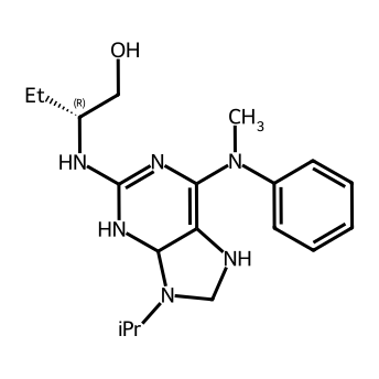 CC[C@H](CO)NC1=NC(N(C)c2ccccc2)=C2NCN(C(C)C)C2N1